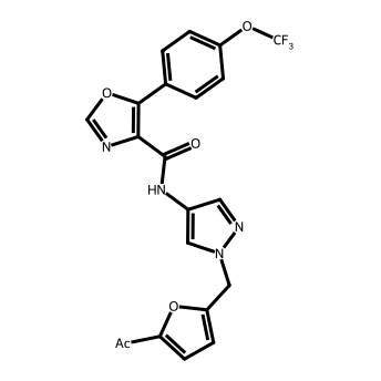 CC(=O)c1ccc(Cn2cc(NC(=O)c3ncoc3-c3ccc(OC(F)(F)F)cc3)cn2)o1